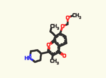 CCc1c(OCOC)ccc2c(=O)c(C)c(C3CCNCC3)oc12